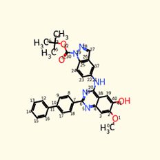 COc1cc2nc(-c3ccc(-c4ccccc4)cc3)nc(Nc3ccc4c(cnn4C(=O)OC(C)(C)C)c3)c2cc1O